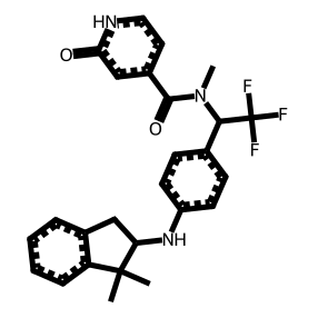 CN(C(=O)c1cc[nH]c(=O)c1)C(c1ccc(NC2Cc3ccccc3C2(C)C)cc1)C(F)(F)F